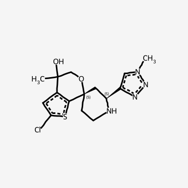 Cn1cc([C@@H]2C[C@]3(CCN2)OCC(C)(O)c2cc(Cl)sc23)nn1